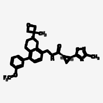 Cc1noc([C@H]2C[C@@H]2C(=O)NCc2ccc(-c3cccc(OC(F)(F)F)c3)c3c2CN(C2(C)COC2)CC3)n1